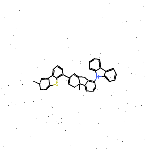 CC1C=c2c(sc3c(C4=CCC5(C)C(=C4)Cc4c(-n6c7ccccc7c7ccccc76)cccc45)cccc23)=CC1